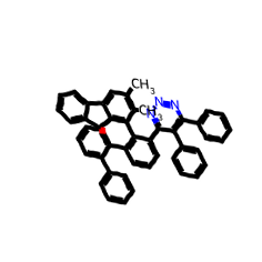 Cc1cc2c(c(-c3c(-c4ccccc4-c4ccccc4)cccc3-c3nnnc(-c4ccccc4)c3-c3ccccc3)c1C)Cc1ccccc1-2